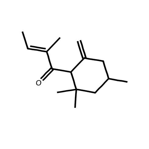 C=C1CC(C)CC(C)(C)C1C(=O)/C(C)=C/C